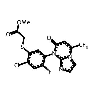 COC(=O)CSc1cc(-n2c(=O)cc(C(F)(F)F)n3ccnc23)c(F)cc1Cl